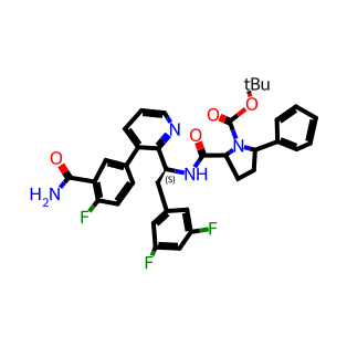 CC(C)(C)OC(=O)N1C(C(=O)N[C@@H](Cc2cc(F)cc(F)c2)c2ncccc2-c2ccc(F)c(C(N)=O)c2)CCC1c1ccccc1